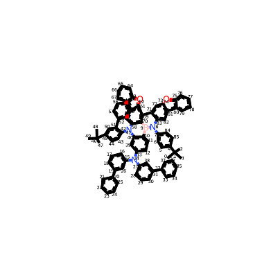 CC(C)(C)c1ccc(N2B3c4ccc(N(c5cccc(-c6ccccc6)c5)c5cccc(-c6ccccc6)c5)cc4N(c4ccc(C(C)(C)C)cc4-c4ccccc4)c4cc5c(oc6ccccc65)c(c43)-c3cc4oc5ccccc5c4cc32)cc1